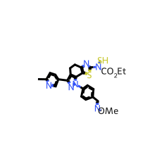 CCOC(=O)N(S)c1nc2c(s1)-c1c(c(-c3ccc(C)nc3)nn1-c1ccc(C=NOC)cc1)CC2